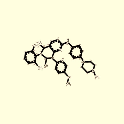 COc1ccc(N2c3nc(Nc4ccc(N5CCN(C)CC5)cc4)ncc3C(C)N(c3c(C)cccc3C)C2O)nc1